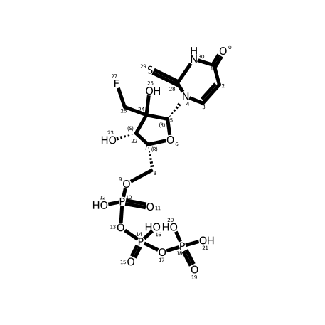 O=c1ccn([C@@H]2O[C@H](COP(=O)(O)OP(=O)(O)OP(=O)(O)O)[C@H](O)C2(O)CF)c(=S)[nH]1